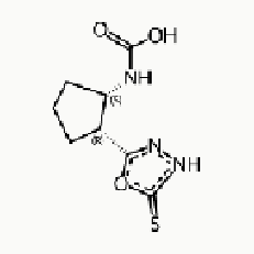 O=C(O)N[C@H]1CCC[C@H]1c1n[nH]c(=S)o1